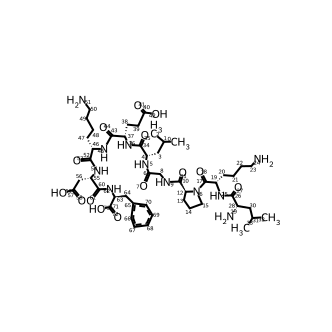 CC(C)C[C@H](NC(=O)CNC(=O)[C@@H]1CCCN1C(=O)[C@H](CCCCN)NC(=O)[C@@H](N)CC(C)C)C(=O)N[C@@H](CCC(=O)O)C(=O)N[C@@H](CCCCN)C(=O)N[C@@H](CC(=O)O)C(=O)N[C@@H](Cc1ccccc1)C(=O)O